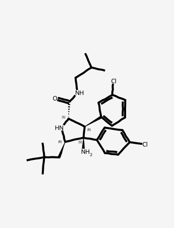 CC(C)CNC(=O)[C@H]1N[C@H](CC(C)(C)C)[C@@](N)(c2ccc(Cl)cc2)[C@@H]1c1cccc(Cl)c1